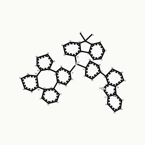 CC1(C)c2ccccc2-c2c(N(c3ccc(-c4cccc5c4oc4ccccc45)cc3)c3ccc4c(c3)-c3ccccc3-c3ccccc3-c3ccccc3-4)cccc21